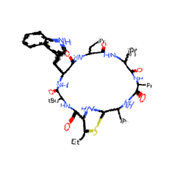 CCC1SC2NC1C(=O)NC(C(C)(C)C)C(=O)NC(Cc1c[nH]c3ccccc13)C(=O)NC(CC(C)C)C(=O)NC(C(C)C)C(=O)NC(C(C)C)C(=O)NC2C(C)C